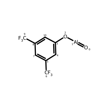 [O]=[Al][O]c1cc(C(F)(F)F)cc(C(F)(F)F)c1